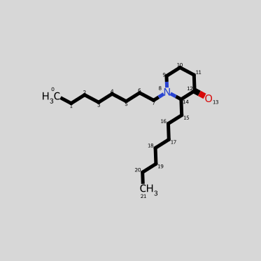 CCCCCCCCN1CCCC(=O)C1CCCCCCC